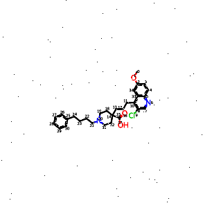 COc1ccc2ncc(Cl)c(CCCC3(C(=O)O)CCN(CCCCc4ccccc4)CC3)c2c1